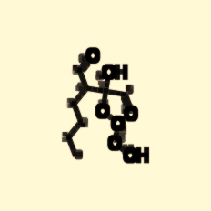 CCCCC(C=O)C(O)(C=O)OOOO